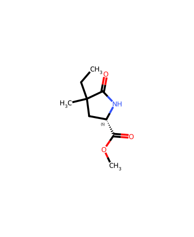 CCC1(C)C[C@@H](C(=O)OC)NC1=O